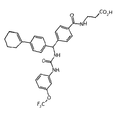 O=C(O)CCNC(=O)c1ccc(C(NC(=O)Nc2cccc(OC(F)(F)F)c2)c2ccc(C3=CCCCC3)cc2)cc1